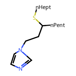 CCCCCCCSC(CCCCC)CCn1ccnc1